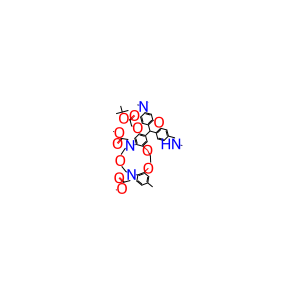 CNCc1ccc2c(c1)Oc1cc(N(C)C)ccc1C2c1cc2c(cc1OCC(=O)OC(C)(C)C)N(CC(=O)OC)CCOCCN(CC(=O)OC)c1ccc(C)cc1OCCO2